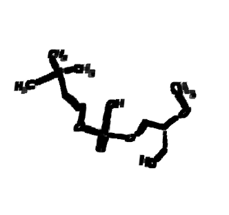 CO[C@H](CO)COP(=O)(O)OCC[N+](C)(C)C